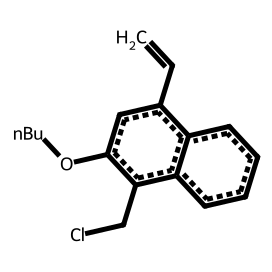 C=Cc1cc(OCCCC)c(CCl)c2ccccc12